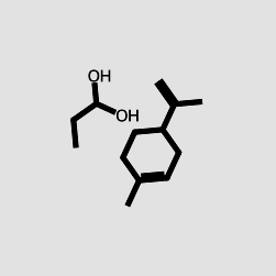 C=C(C)C1CC=C(C)CC1.CCC(O)O